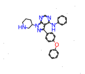 c1ccc(Nc2ncnc3c2c(-c2ccc(Oc4ccccc4)cc2)nn3C2CCCNC2)cc1